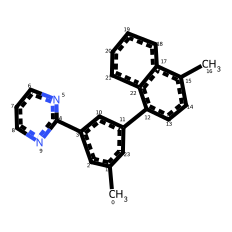 Cc1cc(-c2ncccn2)cc(-c2ccc(C)c3ccccc23)c1